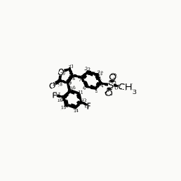 CS(=O)(=O)c1ccc(C2=C(c3cc(F)ccc3F)C(=O)OC2)cc1